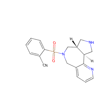 N#Cc1ccccc1S(=O)(=O)N1Cc2cccnc2[C@@H]2CNC[C@H]2C1